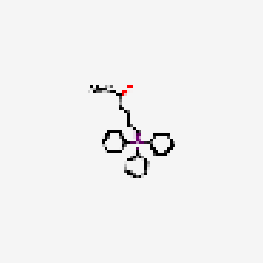 COC(=O)CCCC[PH](c1ccccc1)(c1ccccc1)c1ccccc1